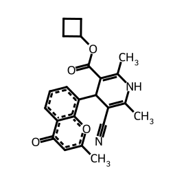 CC1=C(C#N)C(c2cccc3c(=O)cc(C)oc23)C(C(=O)OC2CCC2)=C(C)N1